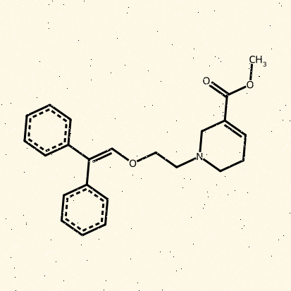 COC(=O)C1=CCCN(CCOC=C(c2ccccc2)c2ccccc2)C1